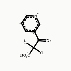 CCOC(=O)C(Cl)(Cl)C(=O)c1cccnc1